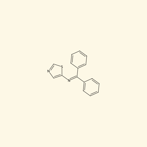 c1ccc(C(=Nc2cncs2)c2ccccc2)cc1